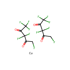 O=C(CF)C(F)(F)C(=O)C(F)(F)F.O=C(CF)C(F)(F)C(=O)C(F)(F)F.[Cu]